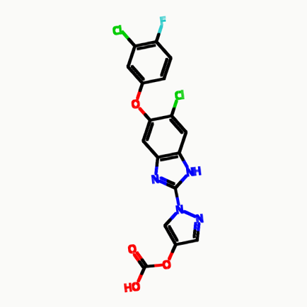 O=C(O)Oc1cnn(-c2nc3cc(Oc4ccc(F)c(Cl)c4)c(Cl)cc3[nH]2)c1